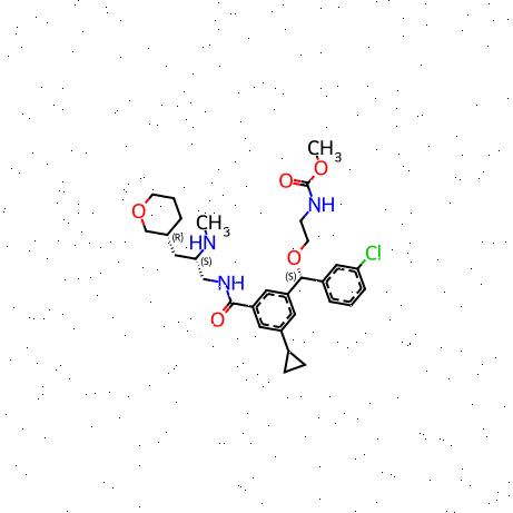 CN[C@H](CNC(=O)c1cc(C2CC2)cc([C@H](OCCNC(=O)OC)c2cccc(Cl)c2)c1)C[C@H]1CCCOC1